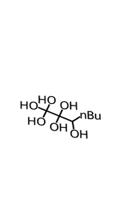 CCCCC(O)C(O)(O)C(O)(O)O